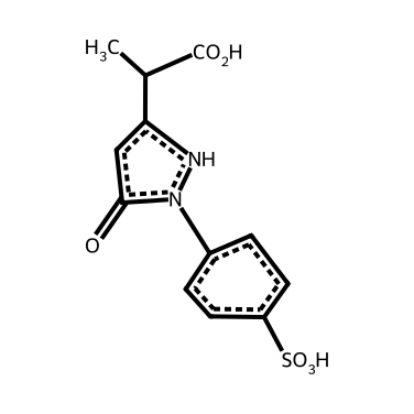 CC(C(=O)O)c1cc(=O)n(-c2ccc(S(=O)(=O)O)cc2)[nH]1